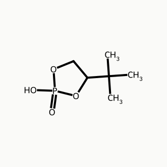 CC(C)(C)C1COP(=O)(O)O1